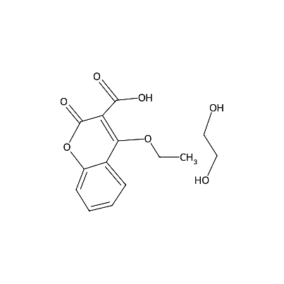 CCOc1c(C(=O)O)c(=O)oc2ccccc12.OCCO